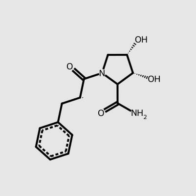 NC(=O)C1[C@@H](O)[C@@H](O)CN1C(=O)[CH]Cc1ccccc1